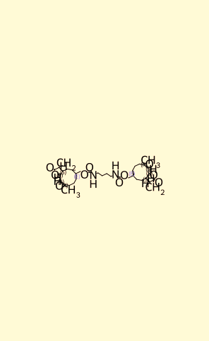 C=C1C(=O)O[C@H]2[C@H]1CC/C(COC(=O)NCCCCNC(=O)OC/C1=C/CC[C@@]3(C)O[C@H]3[C@H]3OC(=O)C(=C)[C@@H]3CC1)=C\CC[C@@]1(C)O[C@@H]21